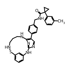 Cc1cccc(C2(C(=O)NCc3ccc(-c4cnc5nc4NCCCNSc4cccc(c4)N5)cc3)CC2)c1